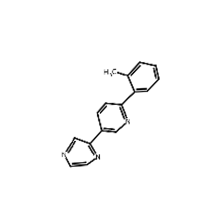 Cc1ccccc1-c1ccc(-c2cnccn2)cn1